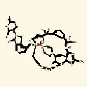 Cc1nc2c3cc(N4CCN(C(=O)CNc5cccc6c5CN(C5CCC(=O)NC5=O)C6=O)CC4)c(=O)n(c3n1)CCCC/C=C\CN1CCC(CC1)C(F)(F)c1cccc(c1)[C@@H](C)N2